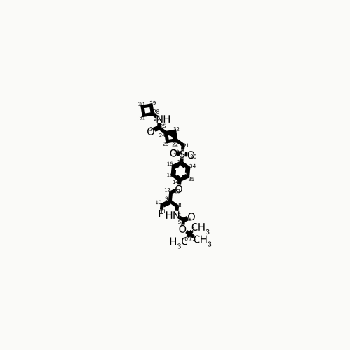 CC(C)(C)OC(=O)NC/C(=C\F)COc1ccc(S(=O)(=O)CC23CC(C(=O)NC4CCC4)(C2)C3)cc1